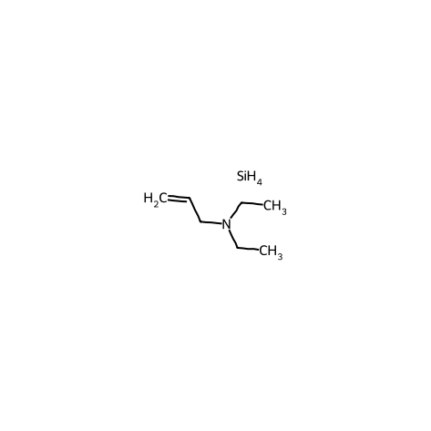 C=CCN(CC)CC.[SiH4]